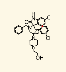 O=C(CN(Cc1ccccc1)C1(Cc2cccc(Cl)c2)C(=O)Nc2cc(Cl)ccc21)N1CCN(CCO)CC1